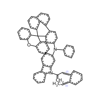 C=C(/C=c1/cccc/c1=C/C)n1c2ccccc2c2ccc(N(c3ccccc3)c3ccc4c(c3)C3(c5ccccc5Oc5ccccc53)c3cccc5cccc-4c35)cc21